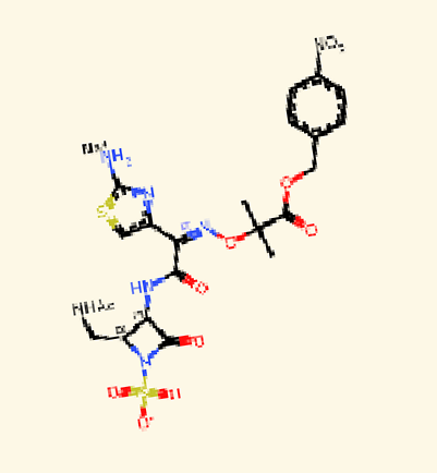 CC(=O)NC[C@H]1[C@@H](NC(=O)/C(=N\OC(C)(C)C(=O)OCc2ccc([N+](=O)[O-])cc2)c2csc(N)n2)C(=O)N1S(=O)(=O)[O-].[Na+]